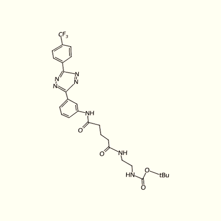 CC(C)(C)OC(=O)NCCNC(=O)CCCC(=O)Nc1cccc(-c2nnc(-c3ccc(C(F)(F)F)cc3)nn2)c1